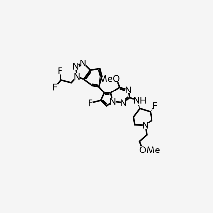 COCCN1CC[C@H](Nc2nc(OC)c3c(-c4ccc5nnn(CC(F)F)c5c4)c(F)cn3n2)[C@H](F)C1